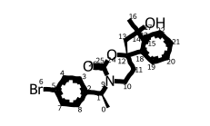 C[C@@H](c1ccc(Br)cc1)N1CC[C@@](CC(C)(C)O)(c2ccccc2)OC1=O